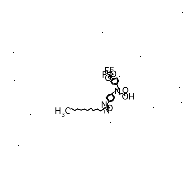 CCCCCCCCCCCc1noc(-c2ccc(CN(CC(=O)O)Cc3ccc(S(=O)(=O)C(F)(F)F)cc3)cc2)n1